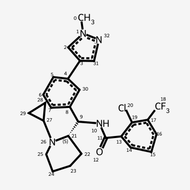 Cn1cc(-c2cccc(C(NC(=O)c3cccc(C(F)(F)F)c3Cl)[C@@H]3CCCCN3C3CC3)c2)cn1